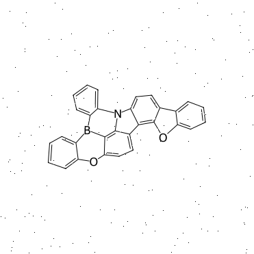 c1ccc2c(c1)Oc1ccc3c4c5oc6ccccc6c5ccc4n4c3c1B2c1ccccc1-4